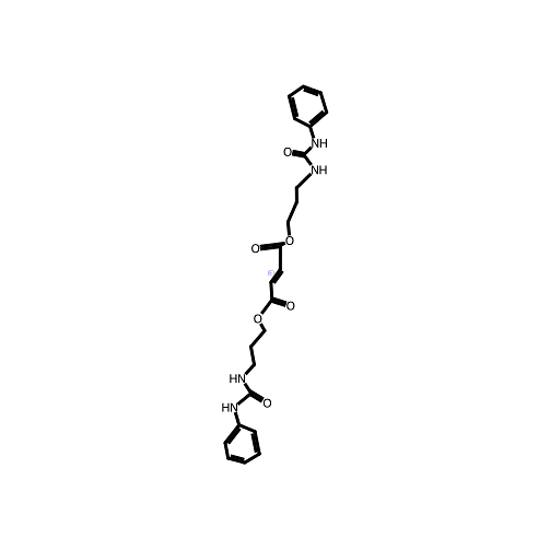 O=C(NCCCOC(=O)/C=C/C(=O)OCCCNC(=O)Nc1ccccc1)Nc1ccccc1